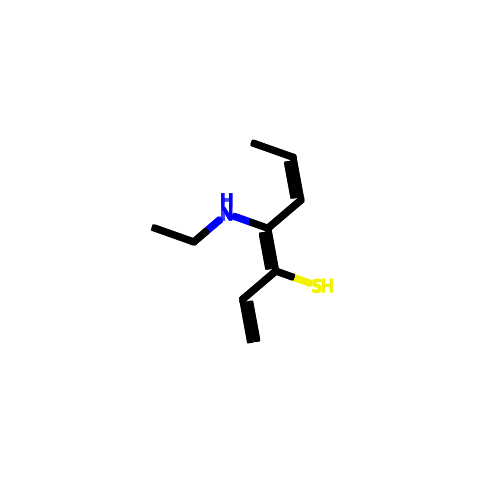 C=C/C(S)=C(/C=C\C)NCC